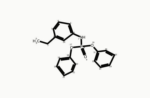 CCc1cccc(NP(=O)(Oc2ccccc2)Oc2ccccc2)c1